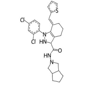 O=C(NN1CC2CCCC2C1)C1NN(c2ccc(Cl)cc2Cl)C2=C1CCC/C2=C\c1cccs1